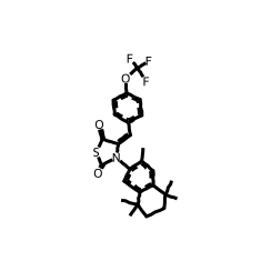 Cc1cc2c(cc1N1C(=O)SC(=O)C1=Cc1ccc(OC(F)(F)F)cc1)C(C)(C)CCC2(C)C